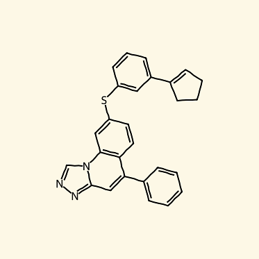 C1=C(c2cccc(Sc3ccc4c(-c5ccccc5)cc5nncn5c4c3)c2)CCC1